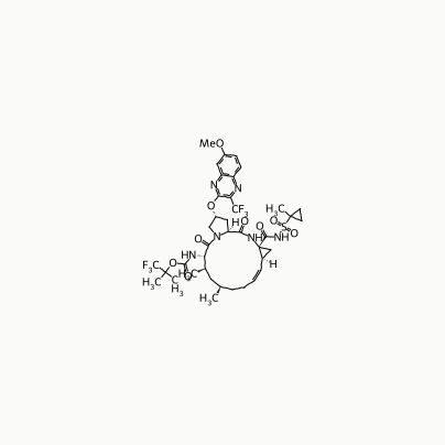 COc1ccc2nc(C(F)(F)F)c(O[C@@H]3C[C@H]4C(=O)N[C@]5(C(=O)NS(=O)(=O)C6(C)CC6)C[C@H]5C=CCC[C@@H](C)C[C@@H](C)[C@H](NC(=O)OC(C)(C)C(F)(F)F)C(=O)N4C3)nc2c1